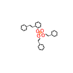 O=P(OC=Cc1ccccc1)(OC=Cc1ccccc1)Oc1ccccc1C=Cc1ccccc1